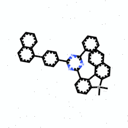 C[Si]1(C)c2cccc(-c3nc(-c4ccccc4)nc(-c4ccc(-c5cccc6ccccc56)cc4)n3)c2-c2c1ccc1ccccc21